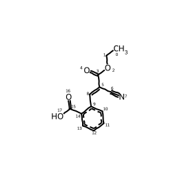 CCOC(=O)/C(C#N)=C/c1ccccc1C(=O)O